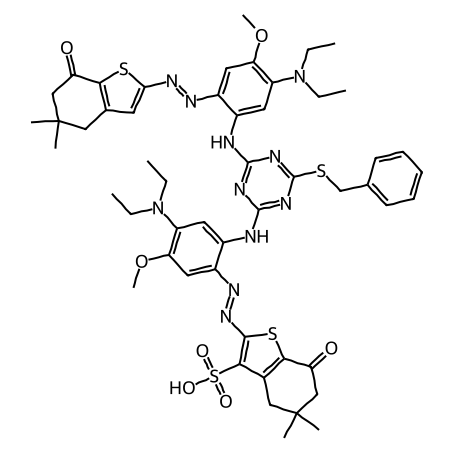 CCN(CC)c1cc(Nc2nc(Nc3cc(N(CC)CC)c(OC)cc3/N=N/c3sc4c(c3S(=O)(=O)O)CC(C)(C)CC4=O)nc(SCc3ccccc3)n2)c(/N=N/c2cc3c(s2)C(=O)CC(C)(C)C3)cc1OC